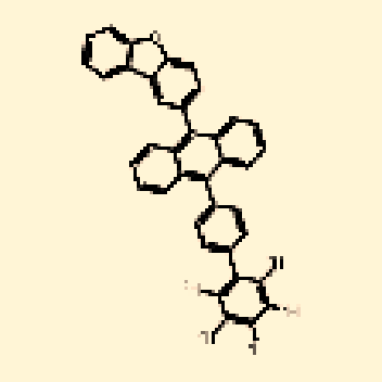 [2H]c1c([2H])c([2H])c(-c2ccc(-c3c4ccccc4c(-c4ccc5oc6ccccc6c5c4)c4ccccc34)cc2)c([2H])c1[2H]